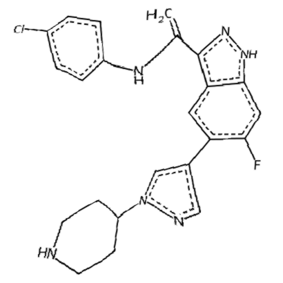 C=C(Nc1ccc(Cl)cc1)c1n[nH]c2cc(F)c(-c3cnn(C4CCNCC4)c3)cc12